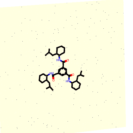 CC(C)CC1CCCCC1NC(=O)c1cc(C(=O)NC2CCCCC2CC(C)C)cc(C(=O)NC2CCCCC2CC(C)C)c1